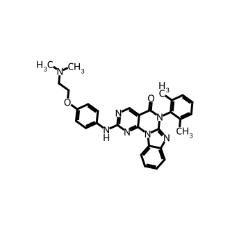 Cc1cccc(C)c1-n1c(=O)c2cnc(Nc3ccc(OCCN(C)C)cc3)nc2n2c3ccccc3nc12